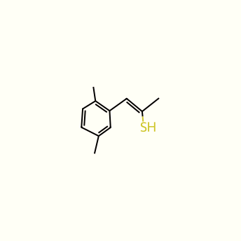 C/C(S)=C/c1cc(C)ccc1C